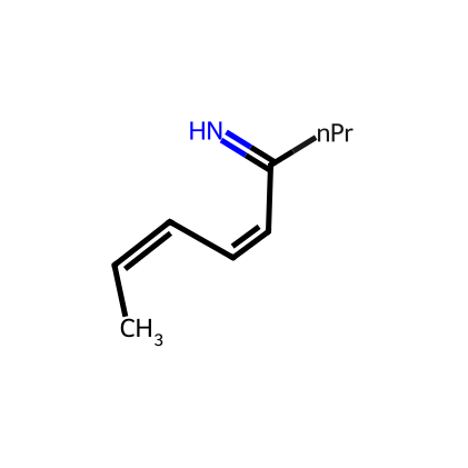 C/C=C\C=C/C(=N)CCC